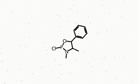 CC1C(c2ccccc2)OP(Cl)N1C